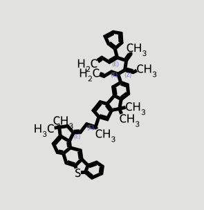 C=C/C=C(/C(=CC)C(=C\C)/C(=C/C=C)c1ccc2c(c1)-c1ccc(/C(C)=C/C=C3\CC(C)(C)c4ccc5cc6sc7ccccc7c6cc5c43)cc1C2(C)C)c1ccccc1